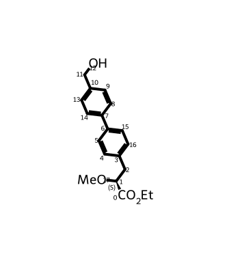 CCOC(=O)[C@H](Cc1ccc(-c2ccc(CO)cc2)cc1)OC